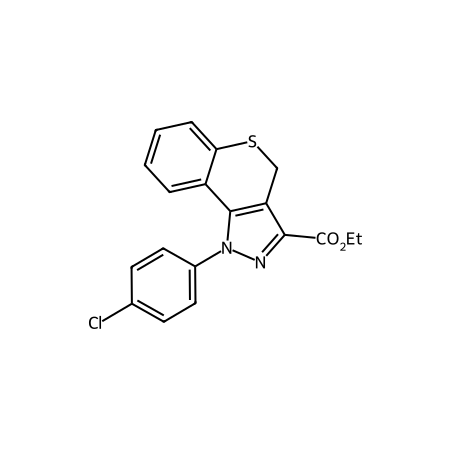 CCOC(=O)c1nn(-c2ccc(Cl)cc2)c2c1CSc1ccccc1-2